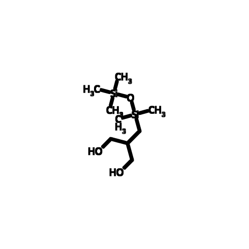 C[Si](C)(C)O[Si](C)(C)CC(CO)CO